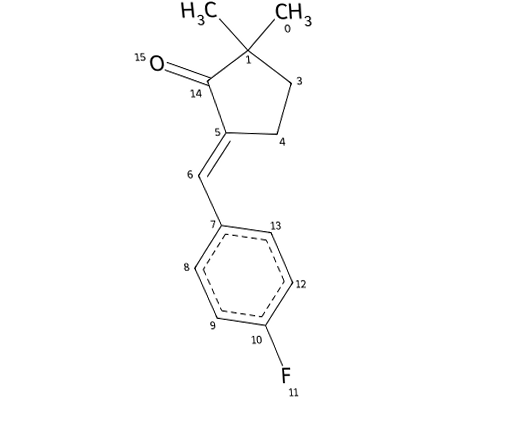 CC1(C)CC/C(=C\c2ccc(F)cc2)C1=O